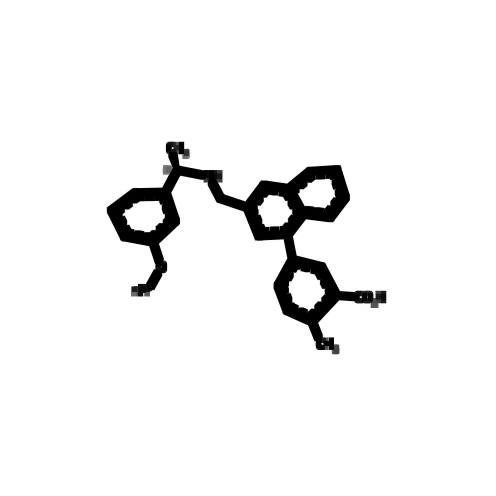 CCCOc1cccc([C@@H](C)NCc2cc(-c3ccc(C)c(C(=O)O)c3)c3ccccc3c2)c1